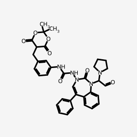 CC1(C)OC(=O)C(Cc2cccc(NC(=O)NN3C=C(c4ccccc4)c4ccccc4N(C(C=O)N4CCCC4)C3=O)c2)C(=O)O1